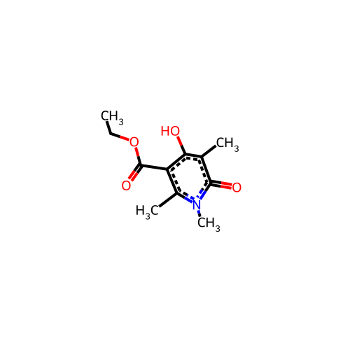 CCOC(=O)c1c(O)c(C)c(=O)n(C)c1C